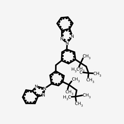 CC(C)(C)CC(C)(C)c1cc(Cc2cc(-n3nc4ccccc4n3)cc(C(C)(C)CC(C)(C)C)c2)cc(-n2nc3ccccc3n2)c1